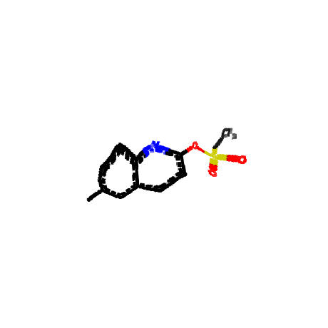 Cc1ccc2nc(OS(=O)(=O)C(F)(F)F)ccc2c1